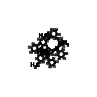 Cc1ccc(C)c(N(c2ccccc2)c2cc3c(C)c(c2C)c2c4c(cc5c6cccc(c7cccc(c7C)n3-c3ccccc3)c6n(C)c52)c2ccccc2n4C)c1